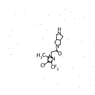 Cc1c(Cl)c(C(F)(F)F)nn1CC(=O)N1CC2CNCC2C1